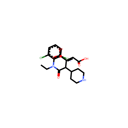 CCN(C(=O)C(/C(=C\C(=O)O)C(=O)O)C1CCNCC1)c1c(Cl)cccc1Cl